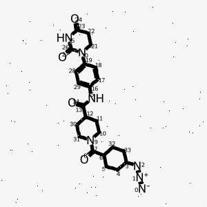 [N-]=[N+]=NC1CCC(C(=O)N2CCC(C(=O)Nc3ccc(N4CCC(=O)NC4=O)cc3)CC2)CC1